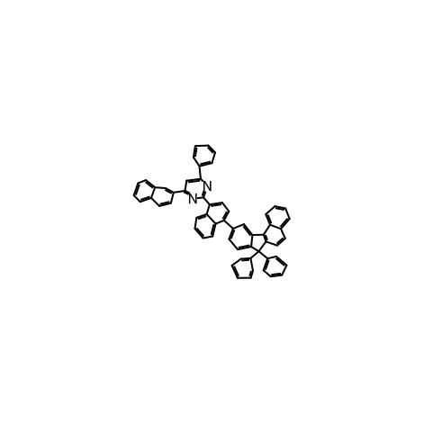 c1ccc(-c2cc(-c3ccc4ccccc4c3)nc(-c3ccc(-c4ccc5c(c4)-c4c(ccc6ccccc46)C5(c4ccccc4)c4ccccc4)c4ccccc34)n2)cc1